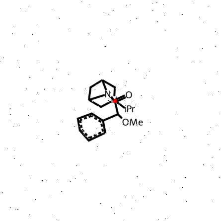 COC(C(=O)N1C2CC1CN(C(C)C)C2)c1ccccc1